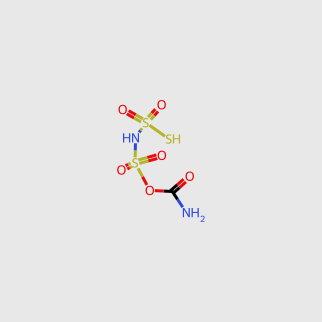 NC(=O)OS(=O)(=O)NS(=O)(=O)S